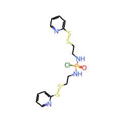 O=P(Cl)(NCCSSc1ccccn1)NCCSSc1ccccn1